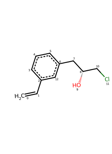 C=Cc1cccc(C[C@@H](O)CCl)c1